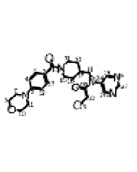 O=C(c1ccc(N2CCOCC2)cc1)N1CCC(CN(C(=O)CCl)c2cncnc2)CC1